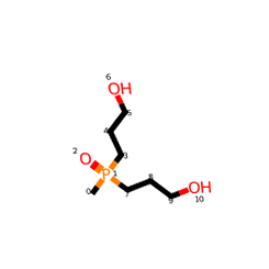 CP(=O)(CCCO)CCCO